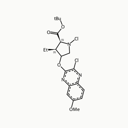 CC[C@@H]1C(Oc2nc3cc(OC)ccc3nc2Cl)CN(Cl)[C@@H]1C(=O)OC(C)(C)C